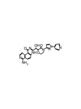 Nc1nccc2c1ccc1[nH]c([C@H](O)[C@H]3OCCN(c4ccn(-c5ccncc5)n4)C3=O)nc(=O)c12